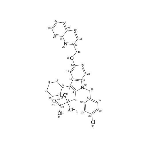 CC(C)(Cc1c(C2CCCCC2)c2cc(OCc3ccc4ccccc4n3)ccc2n1Cc1ccc(Cl)cc1)C(=O)O